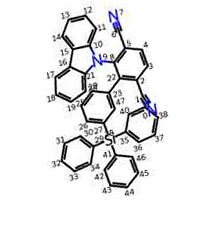 N#Cc1ccc(C#N)c(-n2c3ccccc3c3ccccc32)c1-c1cccc([Si](c2ccccc2)(c2ccccc2)c2ccccc2)c1